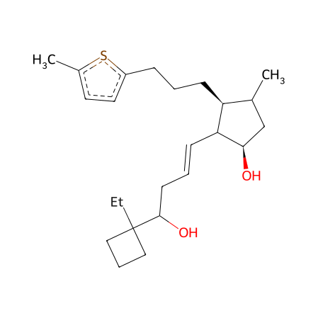 CCC1(C(O)C/C=C/C2[C@@H](CCCc3ccc(C)s3)C(C)C[C@H]2O)CCC1